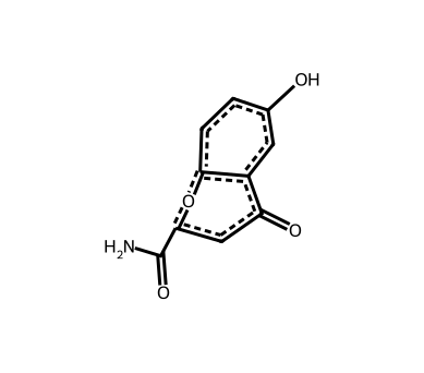 NC(=O)c1cc(=O)c2cc(O)ccc2o1